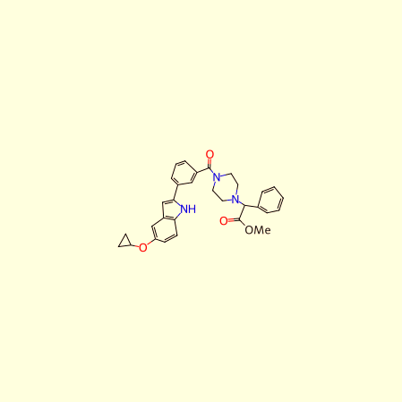 COC(=O)C(c1ccccc1)N1CCN(C(=O)c2cccc(-c3cc4cc(OC5CC5)ccc4[nH]3)c2)CC1